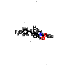 CC(C)(C)OC(=O)N1CCC(C(C)(C)C=Cc2ccc(C(F)(F)F)cc2)C1